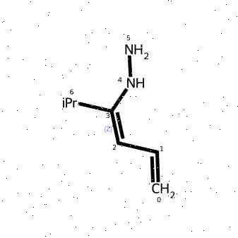 C=C/C=C(\NN)C(C)C